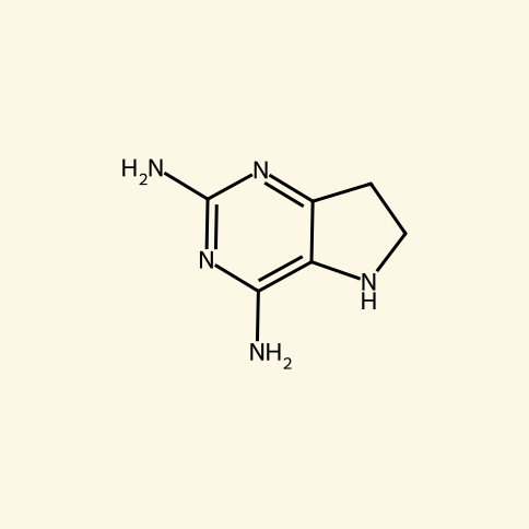 Nc1nc(N)c2c(n1)CCN2